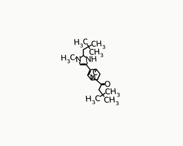 CN1C=C(C2=CC3CCC2CN3C(=O)CC(C)(C)C)NC1CC(C)(C)C